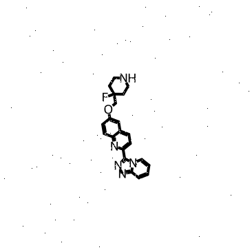 FC1(COc2ccc3nc(-c4nnc5ccccn45)ccc3c2)CCNCC1